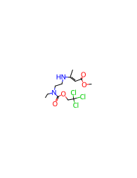 CCN(CCNC(C)=CC(=O)OC)C(=O)OCC(Cl)(Cl)Cl